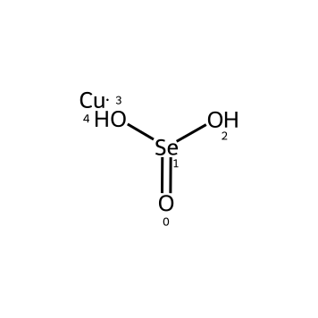 O=[Se](O)O.[Cu]